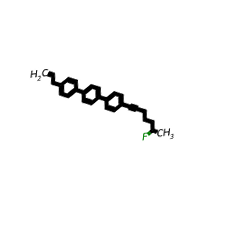 C=CCc1ccc(-c2ccc(-c3ccc(C#CCCCC(C)F)cc3)cc2)cc1